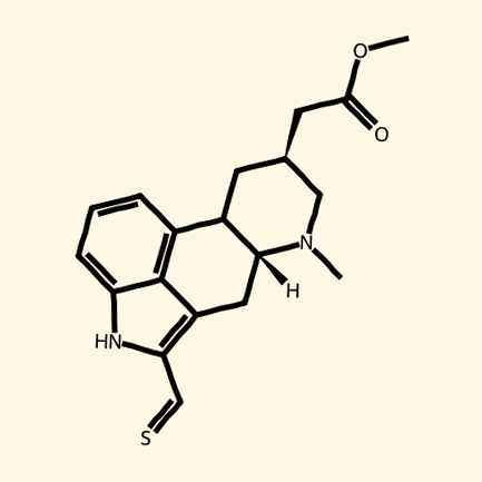 COC(=O)C[C@@H]1CC2c3cccc4[nH]c(C=S)c(c34)C[C@H]2N(C)C1